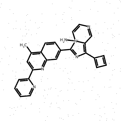 Cc1cc(-c2ccccn2)nc2cc(C3=NC(C4=CC=C4)=C4C=NC=C[N+]34N)ccc12